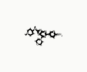 CN1CCC(N(C)c2nc3nc(-c4ccc(N)nc4)nc(N4CCOCC4)c3s2)CC1